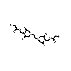 O=C(CBr)OCN1C(=O)CN(CCN2CC(=O)N(COC(=O)CBr)C(=O)C2)CC1=O